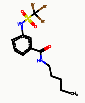 CCCCCNC(=O)c1cccc(NS(=O)(=O)C(Br)(Br)Br)c1